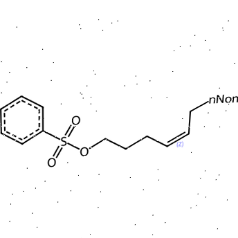 CCCCCCCCCC/C=C\CCCOS(=O)(=O)c1ccccc1